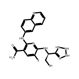 CC(C)C[C@@H](Nc1nc(Nc2ccc3ncccc3c2)c(C(N)=O)cc1F)C1=NNNN1